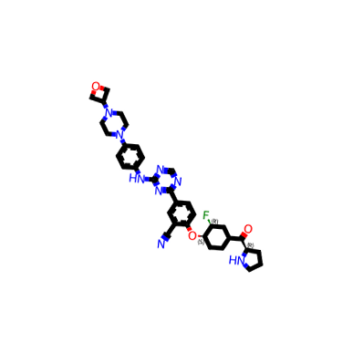 N#Cc1cc(-c2ncnc(Nc3ccc(N4CCN(C5COC5)CC4)cc3)n2)ccc1O[C@H]1CCC(C(=O)[C@H]2CCCN2)C[C@H]1F